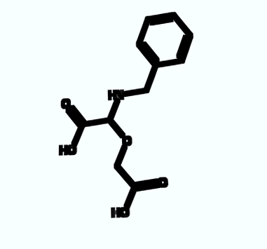 O=C(O)COC(NCc1ccccc1)C(=O)O